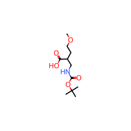 COCCC(CNC(=O)OC(C)(C)C)C(=O)O